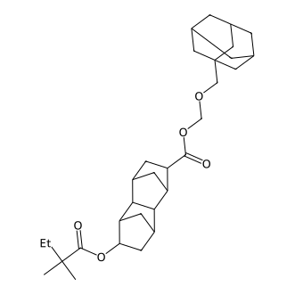 CCC(C)(C)C(=O)OC1CC2CC1C1C3CC(C(=O)OCOCC45CC6CC(CC(C6)C4)C5)C(C3)C21